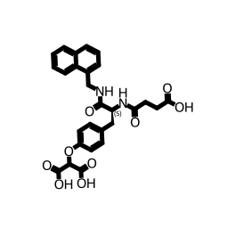 O=C(O)CCC(=O)N[C@@H](Cc1ccc(OC(C(=O)O)C(=O)O)cc1)C(=O)NCc1cccc2ccccc12